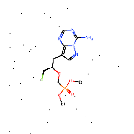 CCOP(=O)(CO[C@@H](CF)Cc1cnn2c(N)ncnc12)OCC